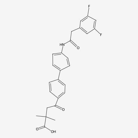 CC(C)(CC(=O)c1ccc(-c2ccc(NC(=O)Cc3cc(F)cc(F)c3)cc2)cc1)C(=O)O